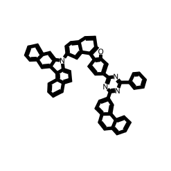 c1ccc(-c2nc(-c3ccc4c(c3)oc3ccc5ccc(-n6c7cc8ccccc8cc7c7c8ccccc8ccc76)cc5c34)nc(-c3ccc4ccc5ccccc5c4c3)n2)cc1